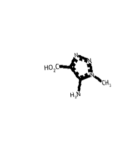 Cn1nnc(C(=O)O)c1N